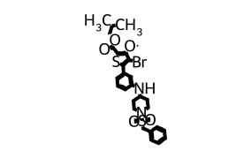 CC(C)COC(=O)c1sc(-c2cccc(NC3CCN(S(=O)(=O)Cc4ccccc4)CC3)c2)c(Br)c1[O]